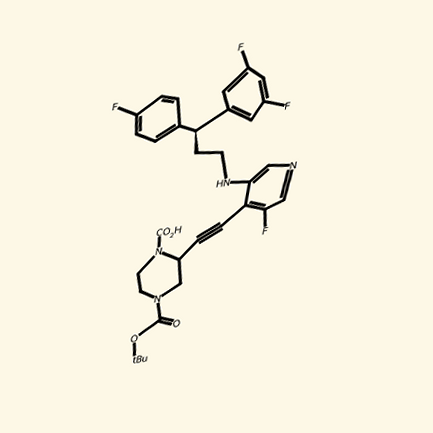 CC(C)(C)OC(=O)N1CCN(C(=O)O)C(C#Cc2c(F)cncc2NCC[C@@H](c2ccc(F)cc2)c2cc(F)cc(F)c2)C1